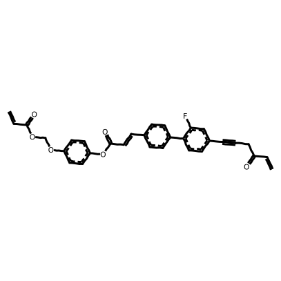 C=CC(=O)CC#Cc1ccc(-c2ccc(/C=C/C(=O)Oc3ccc(OCOC(=O)C=C)cc3)cc2)c(F)c1